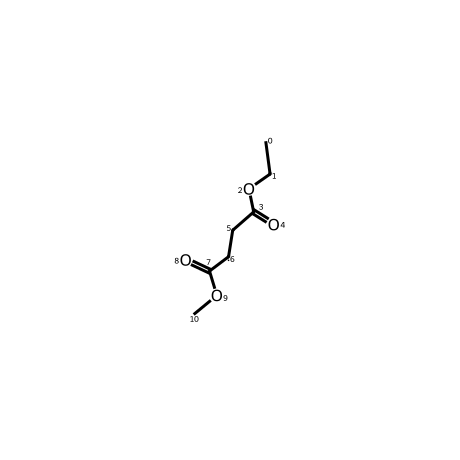 CCOC(=O)C[CH]C(=O)OC